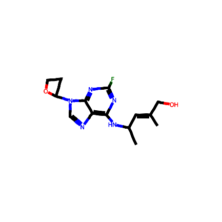 C/C(=C\C(C)Nc1nc(F)nc2c1ncn2C1CCO1)CO